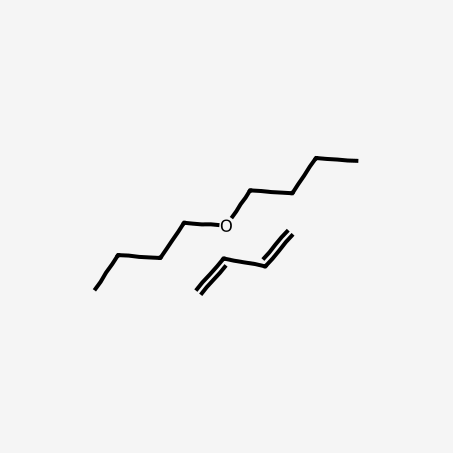 C=CC=C.CCCCOCCCC